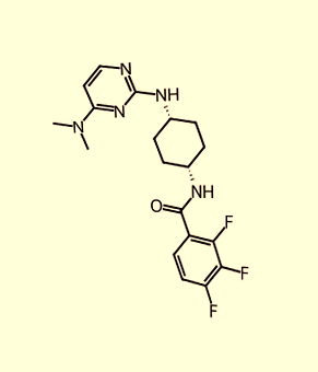 CN(C)c1ccnc(N[C@H]2CC[C@@H](NC(=O)c3ccc(F)c(F)c3F)CC2)n1